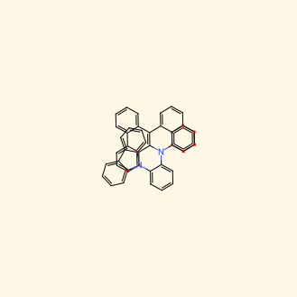 c1ccc(N(c2ccccc2-n2c3ccccc3c3ccccc32)c2c(-c3cccc4ccccc34)c3ccccc3c3ccccc23)cc1